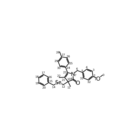 COc1ccc(CN2C(=O)C(C)(C[Se]Cc3ccccc3)C(C)=C2c2ccc(C)cc2)cc1